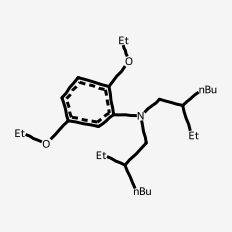 CCCCC(CC)CN(CC(CC)CCCC)c1cc(OCC)ccc1OCC